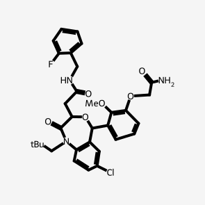 COc1c(OCC(N)=O)cccc1C1OC(CC(=O)NCc2ccccc2F)C(=O)N(CC(C)(C)C)c2ccc(Cl)cc21